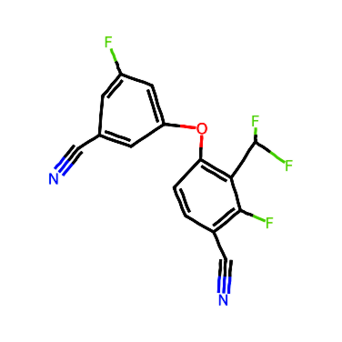 N#Cc1cc(F)cc(Oc2ccc(C#N)c(F)c2C(F)F)c1